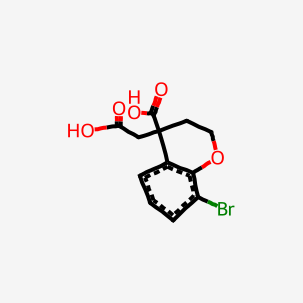 O=C(O)CC1(C(=O)O)CCOc2c(Br)cccc21